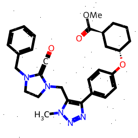 COC(=O)[C@H]1CCC[C@H](Oc2ccc(-c3nnn(C)c3CN3CCN(Cc4ccccc4)C3=C=O)cc2)C1